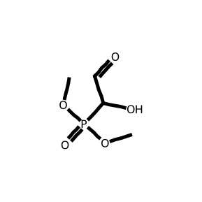 COP(=O)(OC)C(O)C=O